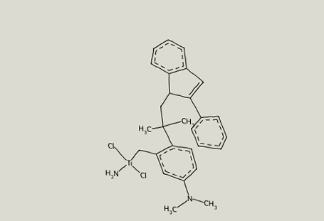 CN(C)c1ccc(C(C)(C)CC2C(c3ccccc3)=Cc3ccccc32)c([CH2][Ti]([NH2])([Cl])[Cl])c1